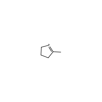 CC1=PCCC1